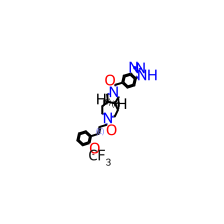 O=C(/C=C/c1ccccc1OC(F)(F)F)N1CC[C@@H]2CN(C(=O)c3ccc4[nH]nnc4c3)C[C@@H]2CC1